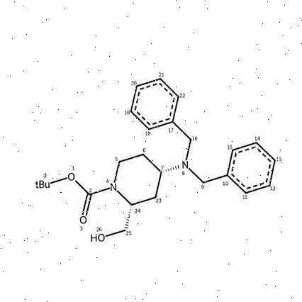 CC(C)(C)OC(=O)N1CC[C@H](N(Cc2ccccc2)Cc2ccccc2)C[C@@H]1CO